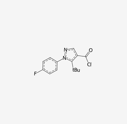 CC(C)(C)c1c(C(=O)Cl)cnn1-c1ccc(F)cc1